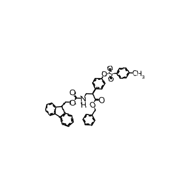 Cc1ccc(S(=O)(=O)Oc2ccc(C(CNC(=O)OCC3c4ccccc4-c4ccccc43)C(=O)OCc3ccccc3)cc2)cc1